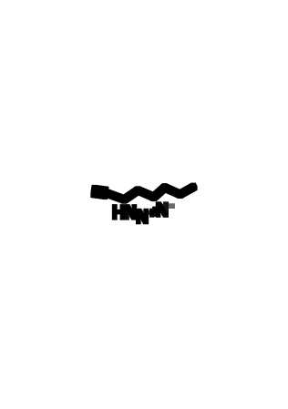 C#CCCCCCC.[N-]=[N+]=N